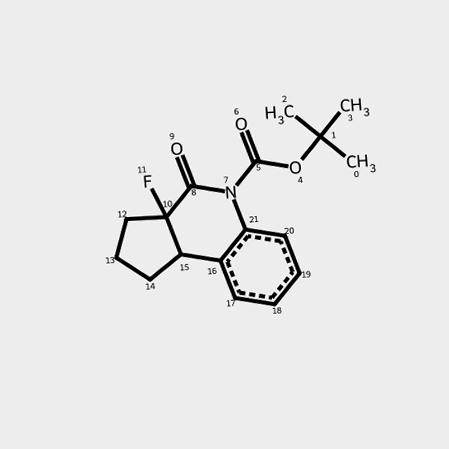 CC(C)(C)OC(=O)N1C(=O)C2(F)CCCC2c2ccccc21